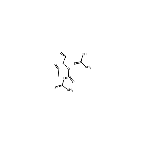 C=CC.C=CCOC=O.NC(O)=S.NC(O)=S